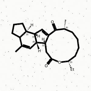 CC[C@H]1CCCC[C@@H](C)C(=O)C2=C[C@@H]3[C@@H](C=C(C)C4CCC[C@H]43)[C@@H]2CC(=O)O1